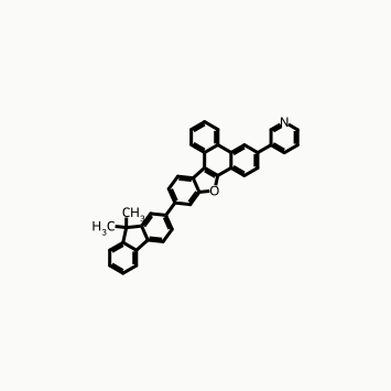 CC1(C)c2ccccc2-c2ccc(-c3ccc4c(c3)oc3c5ccc(-c6cccnc6)cc5c5ccccc5c43)cc21